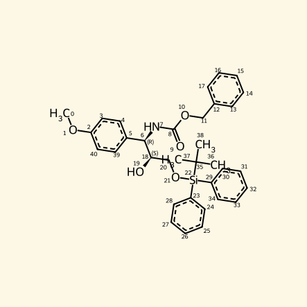 COc1ccc([C@@H](NC(=O)OCc2ccccc2)[C@H](O)CO[Si](c2ccccc2)(c2ccccc2)C(C)(C)C)cc1